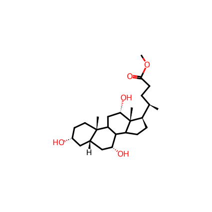 COC(=O)CC[C@@H](C)[C@H]1CCC2C3C(C[C@H](O)[C@@]21C)[C@@]1(C)CC[C@@H](O)C[C@H]1C[C@H]3O